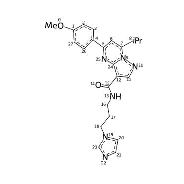 COc1ccc(-c2cc(C(C)C)n3ncc(C(=O)NCCCn4ccnc4)c3n2)cc1